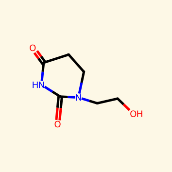 O=C1CCN(CCO)C(=O)N1